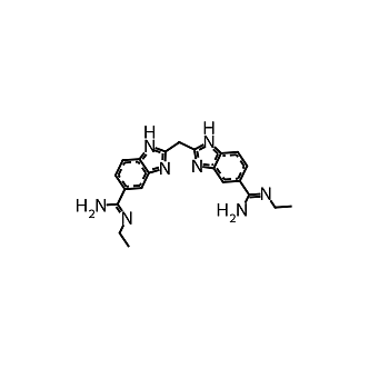 CCN=C(N)c1ccc2[nH]c(Cc3nc4cc(C(N)=NCC)ccc4[nH]3)nc2c1